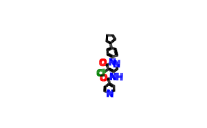 O=C(Nc1cnn(-c2ccc(C3CCCC3)cc2)c(=O)c1Cl)c1ccncc1